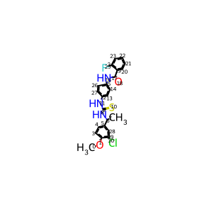 COc1ccc(C(C)NC(=S)Nc2ccc(NC(=O)c3ccccc3F)cc2)cc1Cl